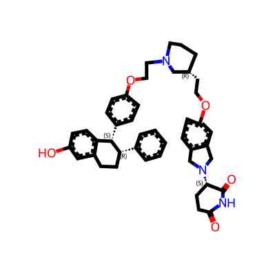 O=C1CC[C@H](N2Cc3ccc(OCC[C@H]4CCCN(CCOc5ccc([C@H]6c7ccc(O)cc7CC[C@H]6c6ccccc6)cc5)C4)cc3C2)C(=O)N1